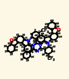 FC(F)(F)c1ccc(-n2c3ccccc3c3c4c(ccc32)oc2ccccc24)c(-c2nc(-c3ccccc3)nc(-c3cc(C(F)(F)F)ccc3-n3c4ccccc4c4c5c(ccc43)oc3ccccc35)n2)c1